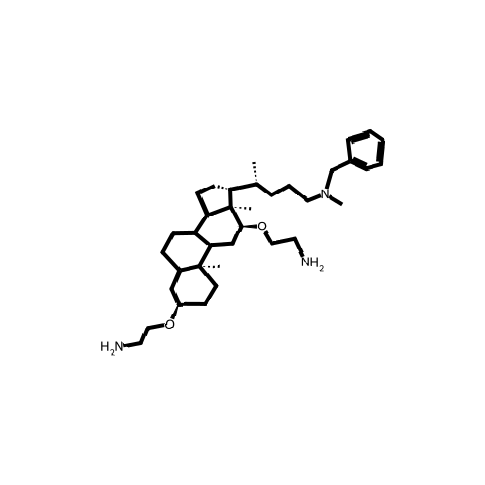 C[C@H](CCCN(C)Cc1ccccc1)[C@H]1CCC2C3CCC4C[C@H](OCCN)CC[C@]4(C)C3C[C@H](OCCN)[C@@]21C